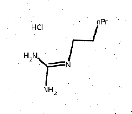 CCCCCN=C(N)N.Cl